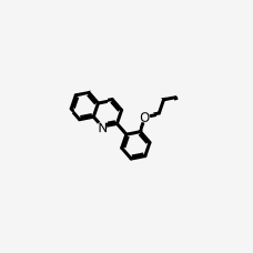 CCCOc1ccccc1-c1ccc2ccccc2n1